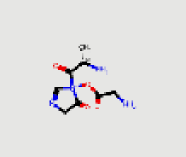 C[C@H](N)C(=O)[N+]1(OC(=O)CN)C=NCC1=O